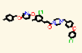 Cc1ccc(COc2ccc(Oc3c(C)cc(/C=C/C(=O)N4CCN(Cc5ccc(Oc6ccc(Cl)cc6)cc5)CC4)cc3Cl)nc2)cc1